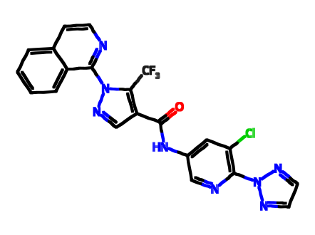 O=C(Nc1cnc(-n2nccn2)c(Cl)c1)c1cnn(-c2nccc3ccccc23)c1C(F)(F)F